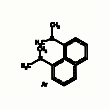 CN(C)c1cccc2cccc(N(C)C)c12.[Ar]